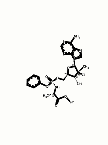 CC(C)OC(=O)[C@H](C)N[P@](=O)(OC[C@H]1O[C@@H](n2cnc3c(N)ncnc32)[C@](C)(Cl)[C@@H]1O)Oc1ccccc1